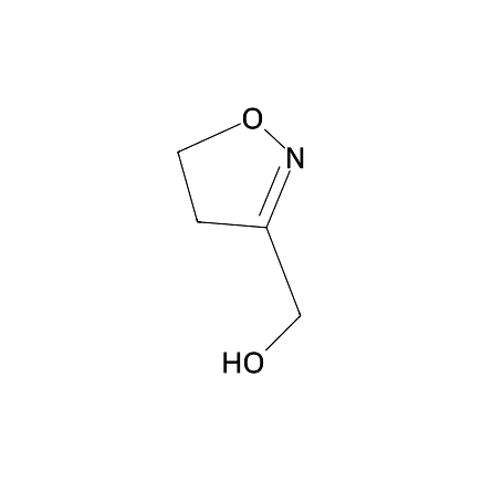 OCC1=NOCC1